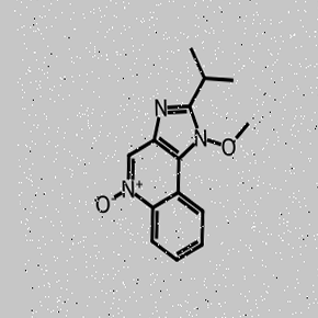 COn1c(C(C)C)nc2c[n+]([O-])c3ccccc3c21